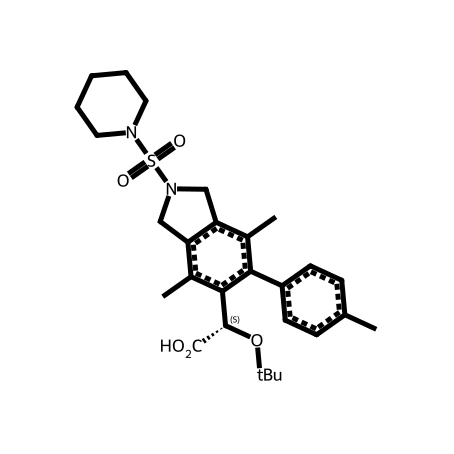 Cc1ccc(-c2c(C)c3c(c(C)c2[C@H](OC(C)(C)C)C(=O)O)CN(S(=O)(=O)N2CCCCC2)C3)cc1